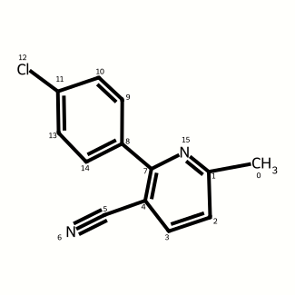 Cc1ccc(C#N)c(-c2ccc(Cl)cc2)n1